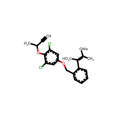 C#CC(C)Oc1c(Cl)cc(OCc2ccccc2C(C(=O)O)=C(C)OC)cc1Cl